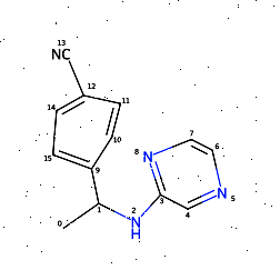 CC(Nc1cnccn1)c1ccc(C#N)cc1